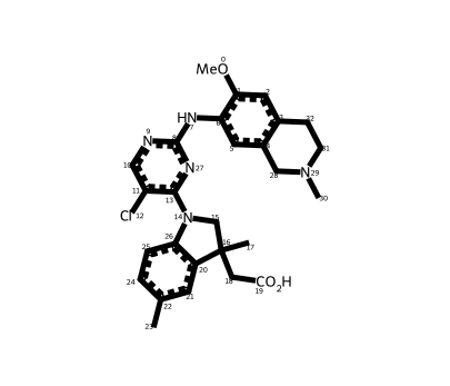 COc1cc2c(cc1Nc1ncc(Cl)c(N3CC(C)(CC(=O)O)c4cc(C)ccc43)n1)CN(C)CC2